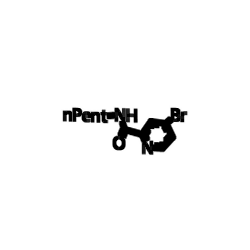 CCCCCNC(=O)c1cc(Br)ccn1